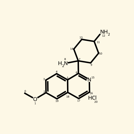 COc1ccc2c(C3(N)CCC(N)CC3)nccc2c1.Cl